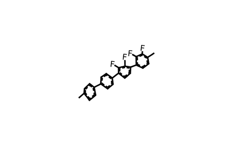 Cc1ccc(-c2ccc(-c3ccc(-c4ccc(C)c(F)c4F)c(F)c3F)cc2)cc1